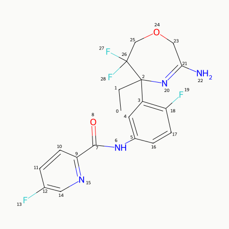 CCC1(c2cc(NC(=O)c3ccc(F)cn3)ccc2F)N=C(N)COCC1(F)F